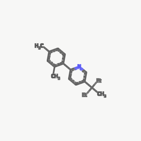 CCC(C)(CC)c1ccc(-c2ccc(C)cc2C)nc1